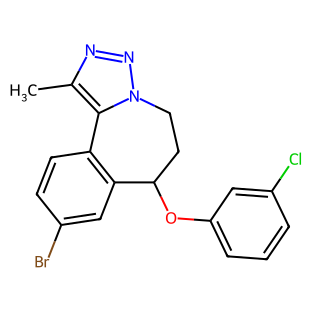 Cc1nnn2c1-c1ccc(Br)cc1C(Oc1cccc(Cl)c1)CC2